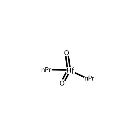 CC[CH2][Hf](=[O])(=[O])[CH2]CC